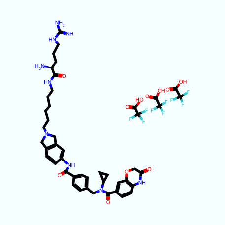 N=C(N)NCCC[C@H](N)C(=O)NCCCCCCN1Cc2ccc(NC(=O)c3ccc(CN(C(=O)c4ccc5c(c4)OCC(=O)N5)C4CC4)cc3)cc2C1.O=C(O)C(F)(F)F.O=C(O)C(F)(F)F.O=C(O)C(F)(F)F